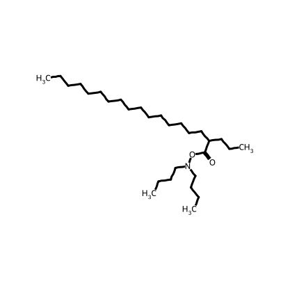 CCCCCCCCCCCCCCCCC(CCC)C(=O)ON(CCCC)CCCC